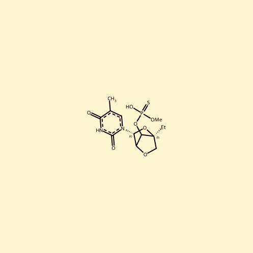 CC[C@]12COC(C1OP(O)(=S)OC)[C@H](n1cc(C)c(=O)[nH]c1=O)O2